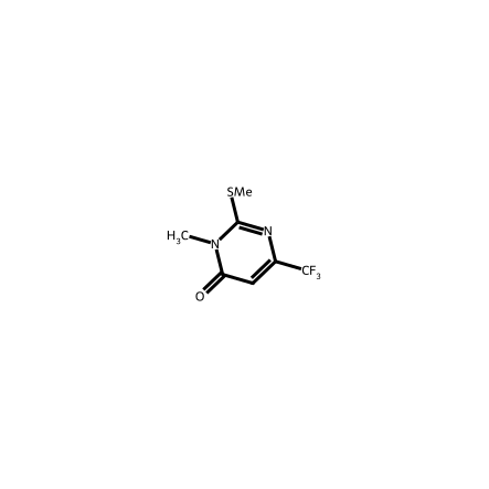 CSc1nc(C(F)(F)F)cc(=O)n1C